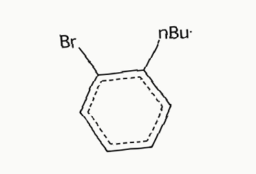 CCC[CH]c1ccccc1Br